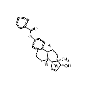 C[C@]12CC[C@@H]3c4ccc(OC(=O)c5ccccc5)cc4CC[C@H]3[C@@H]1C=C[C@@H]2O